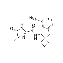 Cn1nc(C(=O)NCC2(Cc3cccc(C#N)c3)CCC2)[nH]c1=O